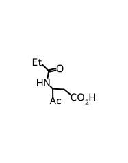 CCC(=O)NC(CC(=O)O)C(C)=O